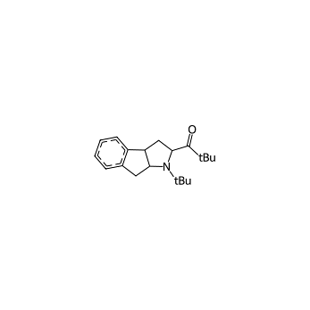 CC(C)(C)C(=O)C1CC2c3ccccc3CC2N1C(C)(C)C